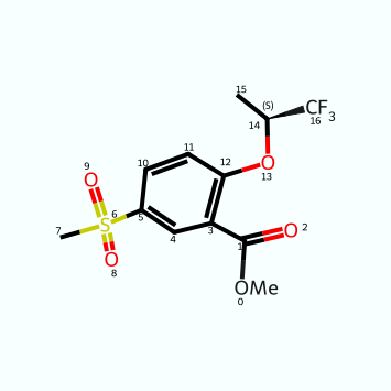 COC(=O)c1cc(S(C)(=O)=O)ccc1O[C@@H](C)C(F)(F)F